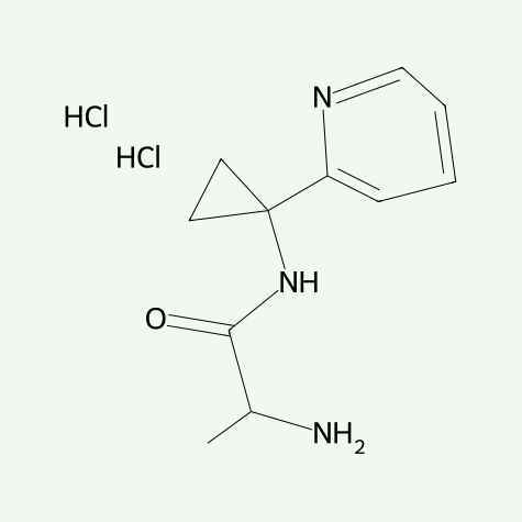 CC(N)C(=O)NC1(c2ccccn2)CC1.Cl.Cl